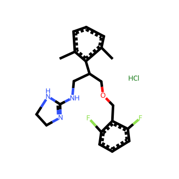 Cc1cccc(C)c1C(CNC1=NCCN1)COCc1c(F)cccc1F.Cl